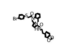 O=C(NCCc1ccc2c(c1)OCO2)c1ccc2n1Cc1ccccc1N(C(=O)CSc1ccc(Br)cc1)C2